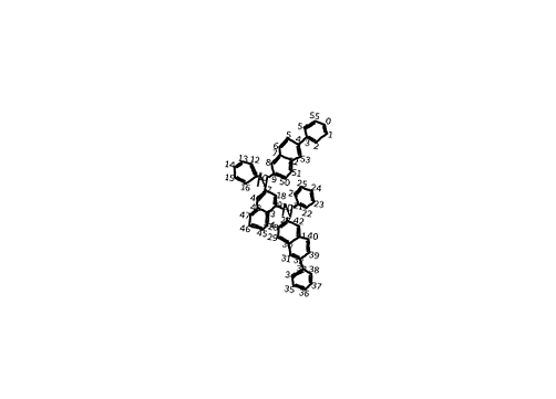 c1ccc(-c2ccc3cc(N(c4ccccc4)c4cc(N(c5ccccc5)c5ccc6cc(-c7ccccc7)ccc6c5)c5ccccc5c4)ccc3c2)cc1